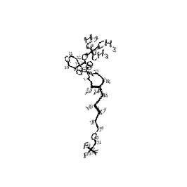 CC(C)(C)OC(=O)C1(S(=O)(=O)N2CCC(CCCCCOCC(F)(F)F)CC2)CCOCC1